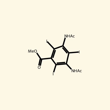 COC(=O)c1c(I)c(NC(C)=O)c(I)c(NC(C)=O)c1I